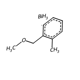 COCc1[c]cccc1C.[BiH3]